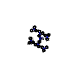 CC/C(=N\C(=N/C)c1cccc(-n2c3cc(-c4ccc5c(c4)c4ccccc4n5-c4ccccc4)ccc3c3ccc(-c4ccc5c(c4)c4ccccc4n5-c4ccccc4)cc32)c1)c1ccc(-n2c3cc(-c4ccc5c(c4)c4ccccc4n5-c4ccccc4)ccc3c3ccc(-c4ccc5c(c4)c4ccccc4n5-c4ccccc4)cc32)cc1